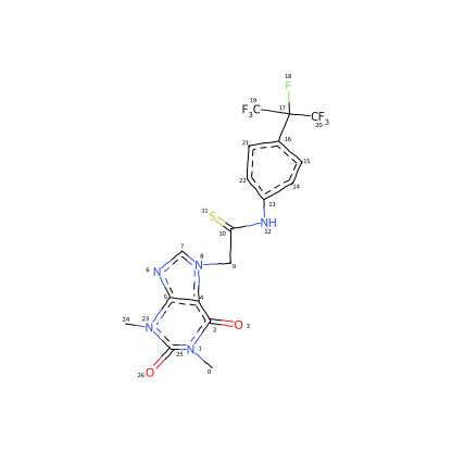 Cn1c(=O)c2c(ncn2CC(=S)Nc2ccc(C(F)(C(F)(F)F)C(F)(F)F)cc2)n(C)c1=O